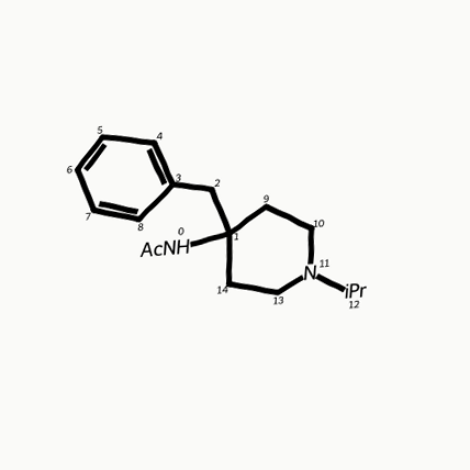 CC(=O)NC1(Cc2ccccc2)CCN(C(C)C)CC1